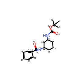 CC(C)(C)OC(=O)N[C@H]1CCC[C@@H](NC(=O)c2ccccc2)C1